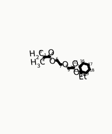 C=C(C)C(=O)OCCOCC(=O)OC1(CC)CCCCC1